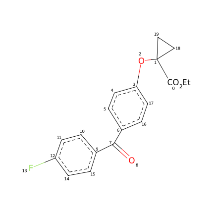 CCOC(=O)C1(Oc2ccc(C(=O)c3ccc(F)cc3)cc2)CC1